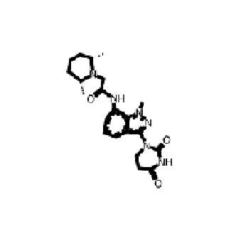 C[C@@H]1CCC[C@H](C)N1CC(=O)Nc1cccc2c(N3CCC(=O)NC3=O)nn(C)c12